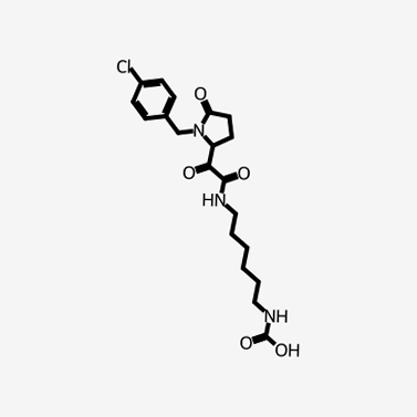 O=C(O)NCCCCCCNC(=O)C(=O)C1CCC(=O)N1Cc1ccc(Cl)cc1